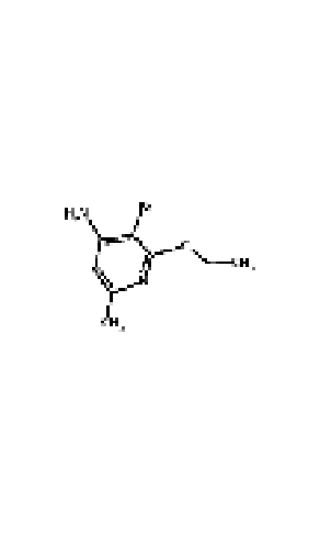 CCOc1nc(C)cc(N)c1Br